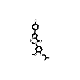 COc1cc(-n2cnn3cc(-c4ccc(Cl)cc4)cc3c2=O)ccc1OCC(C)C